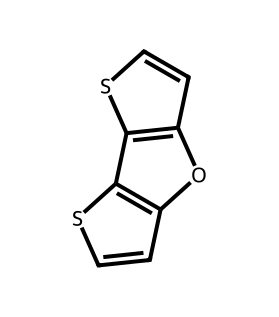 c1cc2oc3ccsc3c2s1